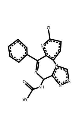 CCCC(=O)NC1N=C(c2ccccc2)c2nc(Cl)ccc2-n2cnnc21